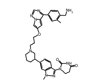 Cc1cc(-c2ncnn3cc(OCCCN4CCCC(c5ccc6c(N7CCC(=O)NC7=O)nn(C)c6c5)C4)cc23)ccc1CN